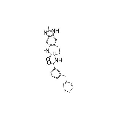 Cc1nc2cc3c(cc2[nH]1)CC[C@H](NC(=O)c1cccc(CC2=CCCC=C2)c1)C(=O)N3C